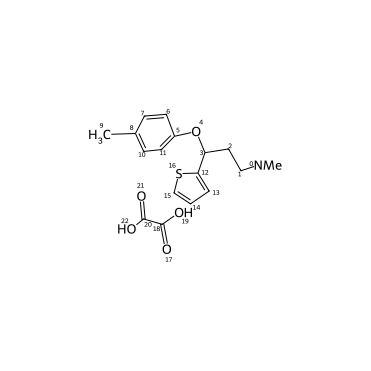 CNCCC(Oc1ccc(C)cc1)c1cccs1.O=C(O)C(=O)O